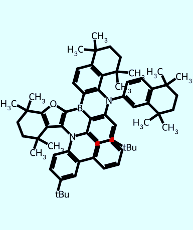 CC(C)(C)c1ccc(N2c3cc(C(C)(C)C)cc4c3B(c3ccc5c(c3N4c3ccc4c(c3)C(C)(C)CCC4(C)C)C(C)(C)CCC5(C)C)c3oc4c(c32)C(C)(C)CCC4(C)C)c(-c2ccccc2)c1